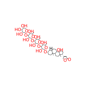 CC1OC(O[C@@H]2[C@H](O)C(O[C@@H]3[C@H](O)C(O[C@H]4CCC5(C)C6CCC7(C)[C@@H](C8=CC(=O)OC8)CC[C@]7(O)C6CC[C@@H]5C4)OC(C)[C@@H]3O)OC(C)[C@@H]2O)[C@@H](O)[C@@H](OC2O[C@@H](C)[C@@H](O)C(O)C2O)[C@H]1O